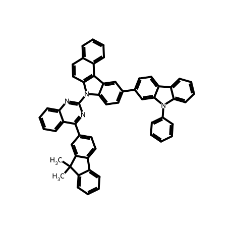 CC1(C)c2ccccc2-c2ccc(-c3nc(-n4c5ccc(-c6ccc7c8ccccc8n(-c8ccccc8)c7c6)cc5c5c6ccccc6ccc54)nc4ccccc34)cc21